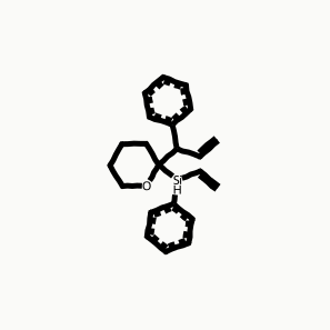 C=CC(c1ccccc1)C1([SiH](C=C)c2ccccc2)CCCCO1